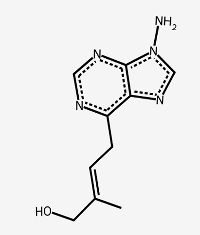 C/C(=C\Cc1ncnc2c1ncn2N)CO